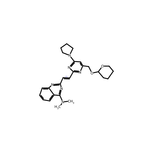 CN(C)c1nc(/C=C/c2nc(COC3CCCCO3)cc(N3CCCC3)n2)nc2ccccc12